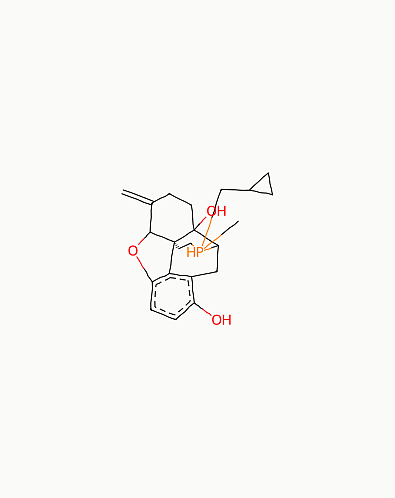 C=C1CCC2(O)C3Cc4c(O)ccc5c4[C@@]2(CC[PH]3(C)CC2CC2)C1O5